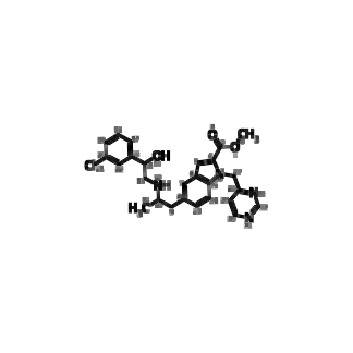 COC(=O)c1cc2cc(CC(C)NCC(O)c3cccc(Cl)c3)ccc2n1Cc1ccncn1